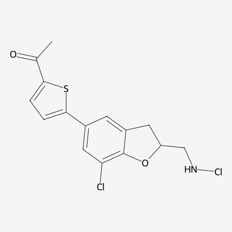 CC(=O)c1ccc(-c2cc(Cl)c3c(c2)CC(CNCl)O3)s1